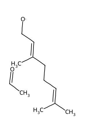 CC(C)=CCC/C(C)=C/C[O].CC=O